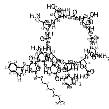 CC(C)CCCCCCCCC(=O)NC(Cc1c[nH]c2ccccc12)C(=O)NC(CC(N)=O)C(=O)NC(CC(=O)O)C(=O)NC1C(=O)NCC(=O)NC(CCCN)C(=O)NC(CC(=O)O)C(=O)NC(C)C(=O)NC(CC(=O)O)C(=O)NCC(=O)NC(CC(N)=O)C(=O)NC(CCC(=O)O)C(=O)NC(CC(=O)c2ccccc2N)C(=O)OC1C